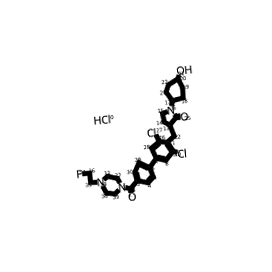 Cl.O=C(c1ccc(-c2cc(Cl)c(CC3CCN(C4CCC(O)CC4)C3=O)c(Cl)c2)cc1)N1CCN(CCF)CC1